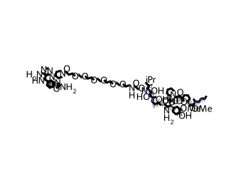 C/C=C/C=C(\C)[C@H](C[C@@H]1CCC[C@](O)(C(=O)C(=O)N2CCCC[C@H]2C(=O)O[C@@H](C[C@@H](O)[C@H](C)/C=C(\C)[C@@H](O)[C@@H](O)/C(=N/OCC(=O)NCCOCCOCCOCCOCCOCCOCCC(=O)N2CCC(Nc3ncnc(N)c3C(=N)c3ccc4oc(N)nc4c3)CC2)[C@H](C)CC(C)C)[C@H](N)C[C@@H]2CC[C@@H](O)[C@H](OC)C2)O1)OC